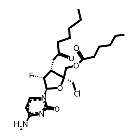 CCCCCC(=O)C[C@H]1[C@@H](F)[C@H](n2ccc(N)nc2=O)O[C@]1(CCl)COC(=O)CCCCC